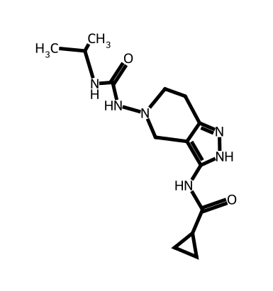 CC(C)NC(=O)NN1CCc2n[nH]c(NC(=O)C3CC3)c2C1